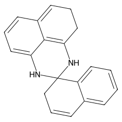 C1=Cc2ccccc2C2(C1)NC1=c3c(cccc3=CCC1)N2